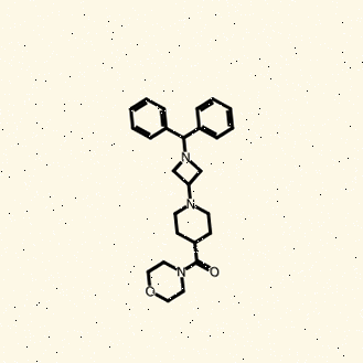 O=C(C1CCN(C2CN(C(c3ccccc3)c3ccccc3)C2)CC1)N1CCOCC1